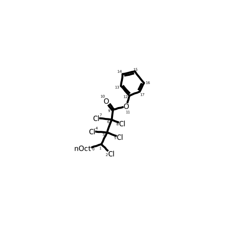 CCCCCCCCC(Cl)C(Cl)(Cl)C(Cl)(Cl)C(=O)Oc1ccccc1